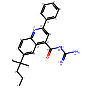 CCCC(C)(C)c1ccc2nc(-c3ccccc3)cc(C(=O)NC(=N)N)c2c1